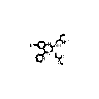 C=CC(CNC1=Nc2ccc(Br)cc2C(c2ccccn2)=N[C@H]1CCC(=O)OC)N=O